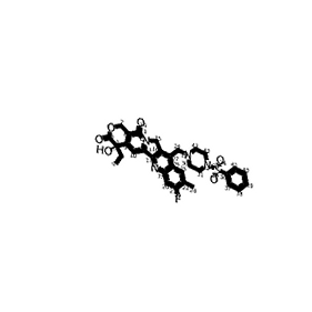 CC[C@@]1(O)C(=O)OCc2c1cc1n(c2=O)Cc2c-1nc1cc(F)c(C)cc1c2CN1CCN(S(=O)(=O)c2ccccc2)CC1